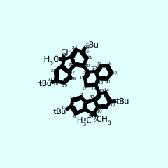 CC(C)(C)c1ccc2c(c1)C(C)(C)c1cc(C(C)(C)C)cc(-c3ccc(-c4cc(C(C)(C)C)cc5c4-c4ccc(C(C)(C)C)cc4C5(C)C)c4ccccc34)c1-2